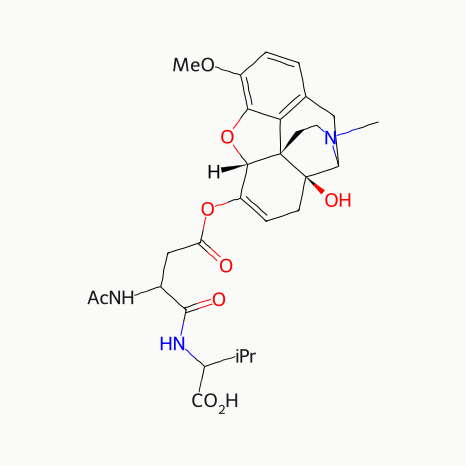 COc1ccc2c3c1O[C@H]1C(OC(=O)CC(NC(C)=O)C(=O)NC(C(=O)O)C(C)C)=CC[C@@]4(O)C(C2)N(C)CC[C@]314